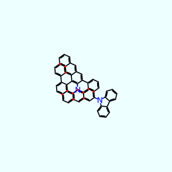 c1ccc(-c2ccccc2-c2cc3cc4ccccc4cc3c(-c3ccccc3-c3ccccc3)c2N(c2ccccc2)c2ccc(-n3c4ccccc4c4ccccc43)cc2)cc1